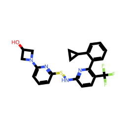 OC1CN(c2cccc(SNc3ccc(C(F)(F)F)c(-c4ccccc4C4CC4)n3)n2)C1